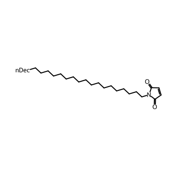 CCCCCCCCCCCCCCCCCCCCCCCCCCCCN1C(=O)C=CC1=O